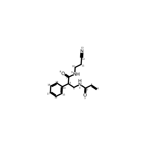 C=CC(=O)NCC(C(=O)NCCC#N)c1ccccc1